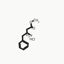 COC(=O)CC(N)Cc1ccccc1.Cl